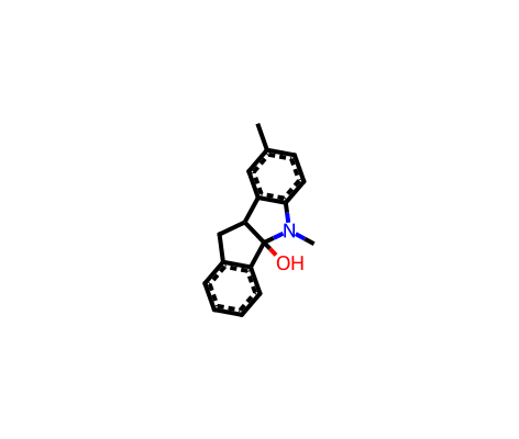 Cc1ccc2c(c1)C1Cc3ccccc3C1(O)N2C